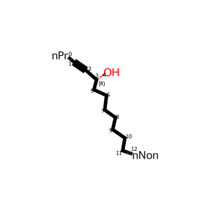 CCCC#C[C@H](O)CCCCCCCCCCCCCCCC